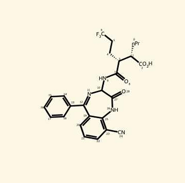 CCC[C@H](C(=O)O)[C@@H](CCC(F)(F)F)C(=O)NC1N=C(c2ccccc2)c2cccc(C#N)c2NC1=O